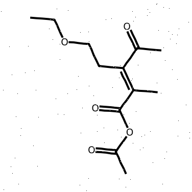 CCOCCC(C(C)=O)=C(C)C(=O)OC(C)=O